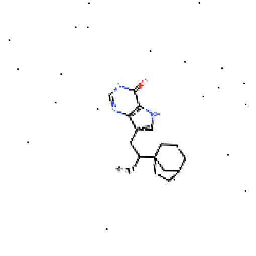 CCCCCCCC(Cc1c[nH]c2c(=O)[nH]cnc12)C12CCCC(CC1)C2